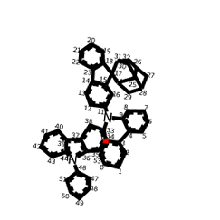 c1ccc(-c2ccccc2N(c2ccc3c(c2)C2(c4ccccc4-3)C3CC4CC(C3)CC2C4)c2ccc3c(c2)c2ccccc2n3-c2ccccc2)cc1